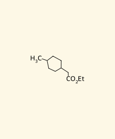 CCOC(=O)CC1CCC(C)CC1